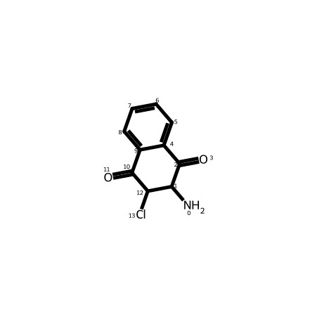 NC1C(=O)c2ccccc2C(=O)C1Cl